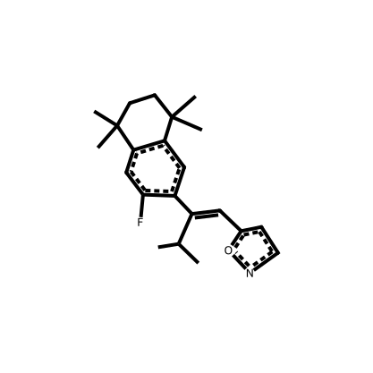 CC(C)C(=Cc1ccno1)c1cc2c(cc1F)C(C)(C)CCC2(C)C